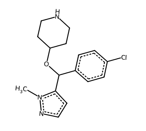 Cn1nccc1C(OC1CCNCC1)c1ccc(Cl)cc1